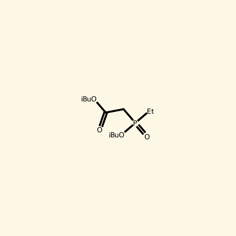 CCP(=O)(CC(=O)OCC(C)C)OCC(C)C